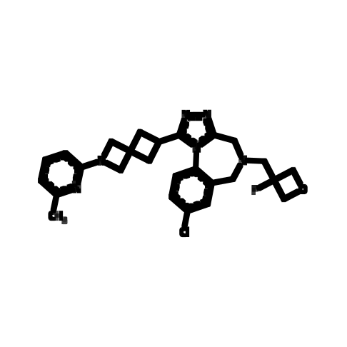 Cc1cccc(N2CC3(CC(c4nnc5n4-c4ccc(Cl)cc4CN(CC4(F)COC4)C5)C3)C2)n1